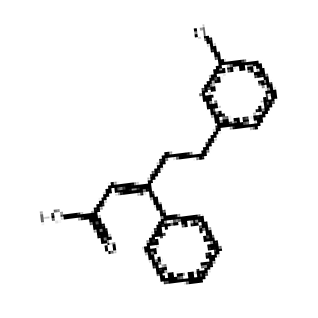 O=C(O)C=C(CCc1cccc(Cl)c1)c1ccccc1